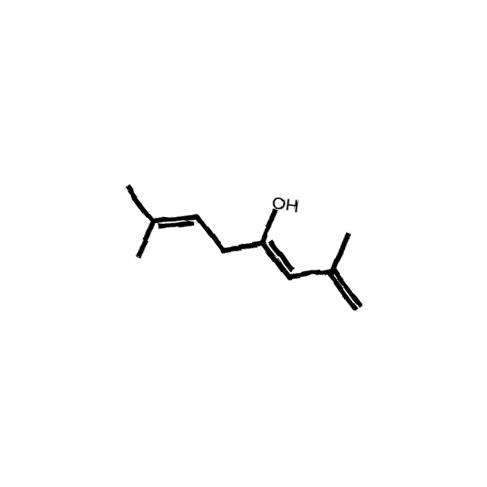 C=C(C)C=C(O)CC=C(C)C